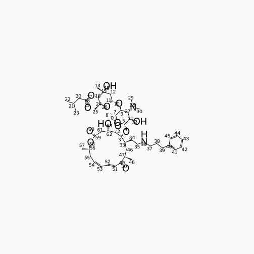 CO[C@@H]1[C@@H](O[C@@H]2O[C@H](C)[C@@H](O[C@H]3C[C@@](C)(O)[C@@H](OC(=O)CC(C)C)[C@H](C)O3)[C@H](N(C)C)[C@H]2O)[C@@H](CCNCCCc2ccccc2)C[C@@H](C)C(=O)/C=C/C=C\C[C@@H](C)OC(=O)C[C@H]1O